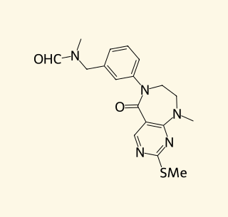 CSc1ncc2c(n1)N(C)CCN(c1cccc(CN(C)C=O)c1)C2=O